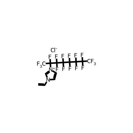 C=Cn1cc[n+](C(F)(C(F)(F)F)C(F)(F)C(F)(F)C(F)(F)C(F)(F)C(F)(F)C(F)(F)F)c1.[Cl-]